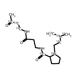 C[13C](=O)[13CH2][13CH2]NC(=O)CCN[13C](=O)C1CCC[15N]1C[13CH2][15N]([13CH3])[13CH3]